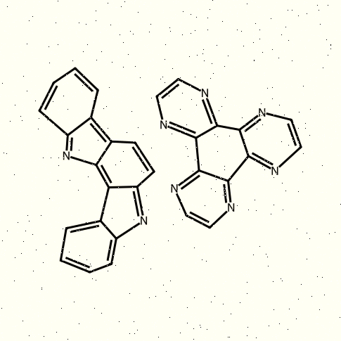 c1ccc2c(c1)N=c1ccc3c(c1-2)N=c1ccccc1=3.c1cnc2c(n1)c1nccnc1c1nccnc21